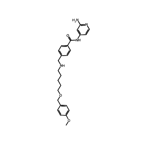 COc1ccc(COCCCCCNCc2ccc(C(=O)Nc3ccnc(N)c3)cc2)cc1